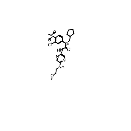 COCCNc1cnc(NC(=O)[C@H](CC2CCCC2)c2ccc(S(C)(=O)=O)c(Cl)c2)cn1